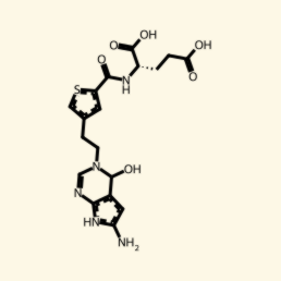 Nc1cc2c([nH]1)N=CN(CCc1csc(C(=O)N[C@@H](CCC(=O)O)C(=O)O)c1)C2O